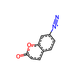 N#[N+]c1ccc2ccc(=O)oc2c1